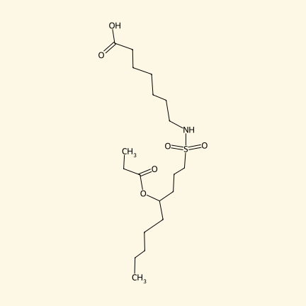 CCCCCC(CCCS(=O)(=O)NCCCCCCC(=O)O)OC(=O)CC